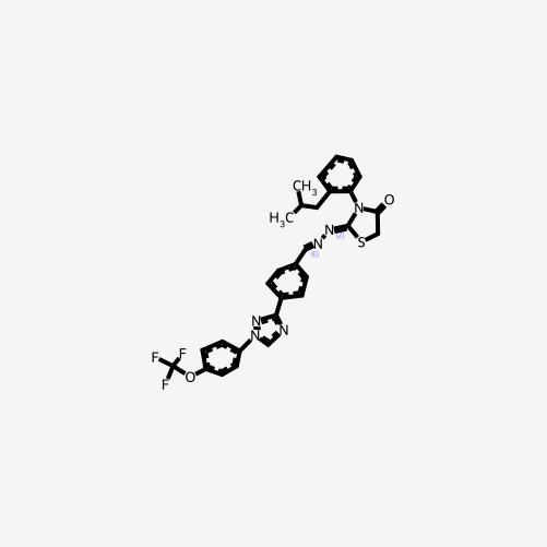 CC(C)Cc1ccccc1N1C(=O)CS/C1=N\N=C\c1ccc(-c2ncn(-c3ccc(OC(F)(F)F)cc3)n2)cc1